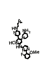 COc1cccc(F)c1-c1nccc(Nc2cc(N3CCC[C@H](N)C3)c(-c3ccc(NCCN(C)C)nc3)cn2)n1.Cl